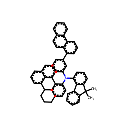 CC1(C)c2ccccc2-c2c(N(c3cccc(-c4cccc5c4ccc4ccccc45)c3)c3ccccc3-c3cccc4cccc(C5CCCCC5)c34)cccc21